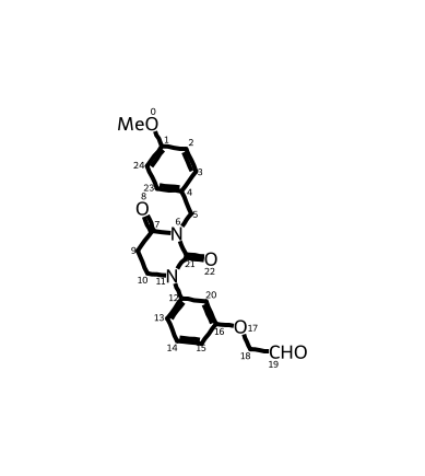 COc1ccc(CN2C(=O)CCN(c3cccc(OCC=O)c3)C2=O)cc1